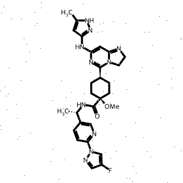 CO[C@]1(C(=O)N[C@@H](C)c2ccc(-n3cc(F)cn3)nc2)CC[C@H](C2=NC(Nc3cc(C)[nH]n3)=CC3=NCCN32)CC1